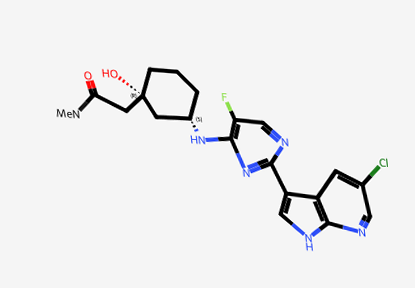 CNC(=O)C[C@@]1(O)CCC[C@H](Nc2nc(-c3c[nH]c4ncc(Cl)cc34)ncc2F)C1